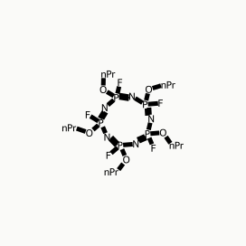 CCCOP1(F)=NP(F)(OCCC)=NP(F)(OCCC)=NP(F)(OCCC)=NP(F)(OCCC)=N1